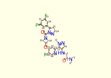 CN(C)C(=O)CNc1cnn(C)c1-c1cc(OC2CN(C(=O)N3N=CCC3c3cc(F)cc(F)c3)C2)c(F)cn1